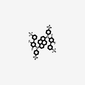 C[Si](C)(C)c1ccc(N(c2cc(-c3cccc([Si](C)(C)C)c3)c(F)cc2F)c2ccc3ccc4c(N(c5ccc([Si](C)(C)C)cc5)c5cc(-c6cccc([Si](C)(C)C)c6)c(F)cc5F)ccc5ccc2c3c54)cc1